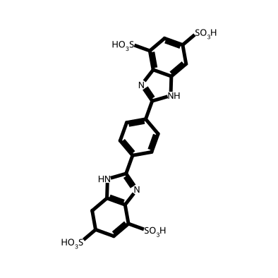 O=S(=O)(O)C1=CC(S(=O)(=O)O)Cc2[nH]c(-c3ccc(-c4nc5c(S(=O)(=O)O)cc(S(=O)(=O)O)cc5[nH]4)cc3)nc21